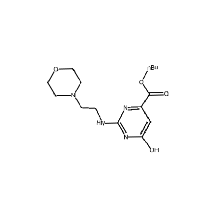 CCCCOC(=O)c1cc(O)nc(NCCN2CCOCC2)n1